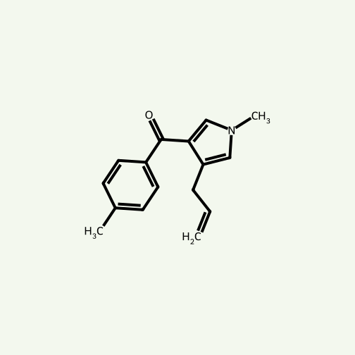 C=CCc1cn(C)cc1C(=O)c1ccc(C)cc1